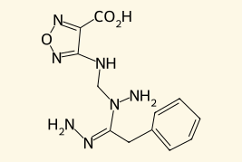 N/N=C(/Cc1ccccc1)N(N)CNc1nonc1C(=O)O